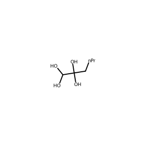 CCCCC(O)(O)[C](O)O